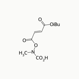 CC(C)COC(=O)/C=C/C(=O)ON(C)C(=O)O